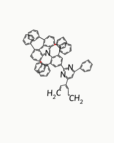 C=C/C=C(\C=C)c1cc(-c2ccccc2)nc(-c2cc(-c3ccccc3)c(-n3c4c(-c5ccccc5)ccc(-c5ccccc5)c4c4c(-c5ccccc5)ccc(-c5ccccc5)c43)c(-c3ccccc3)c2)n1